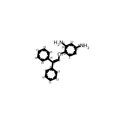 Nc1ccc(OC=C(c2ccccc2)c2ccccc2)c(N)c1